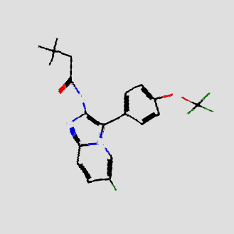 CC(C)(C)CC(=O)Nc1nc2ccc(F)cn2c1-c1ccc(OC(F)(F)F)cc1